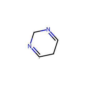 [C]1=NCN=CC1